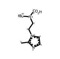 Cc1nccn1CCN(C(=O)O)C(C)(C)C